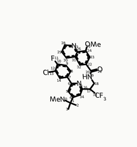 CNC(C)(C)c1cc(-c2ccc(F)c(Cl)c2)nc(C(CNC(=O)c2cc(OC)c3ncccc3c2)C(F)(F)F)c1